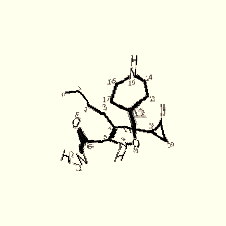 CCCCC1=C(C(N)=O)NOC1(C1CCNCC1)C1CC1